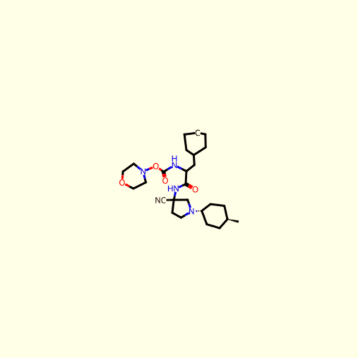 C[C@H]1CC[C@H](N2CCC(C#N)(NC(=O)C(CC3CCCCC3)NC(=O)ON3CCOCC3)C2)CC1